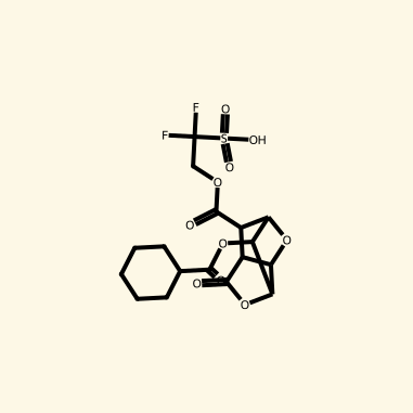 O=C(OC1C2OC(=O)C3C2OC1C3C(=O)OCC(F)(F)S(=O)(=O)O)C1CCCCC1